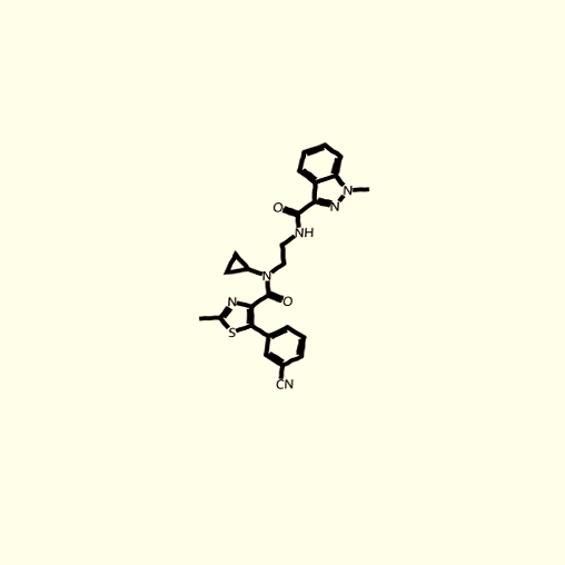 Cc1nc(C(=O)N(CCNC(=O)c2nn(C)c3ccccc23)C2CC2)c(-c2cccc(C#N)c2)s1